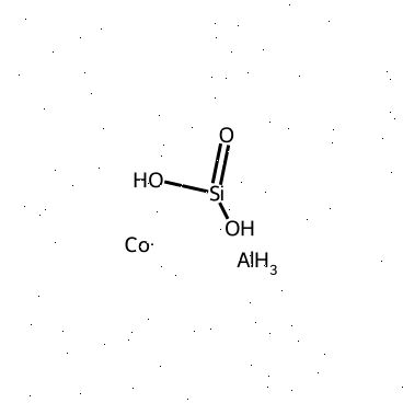 O=[Si](O)O.[AlH3].[Co]